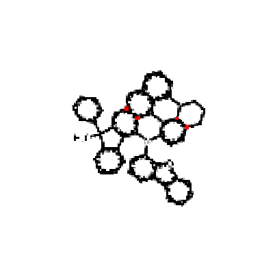 CC1(c2ccccc2)c2ccccc2-c2c(N(c3ccccc3-c3cccc4cccc(C5CCCCC5)c34)c3cccc4c3oc3ccccc34)cccc21